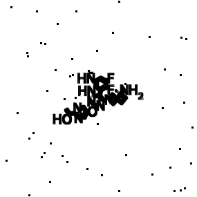 CNc1cc(F)c(F)c2c1[nH]c1nc(Oc3cnc(C(C)O)nc3)nc(N3CC4(CC[C@]4(C)N)C3)c12